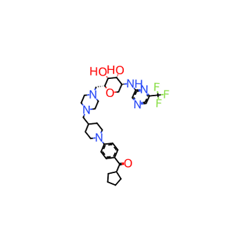 O=C(c1ccc(N2CCC(CN3CCN(C[C@H]4OC[C@H](Nc5cncc(C(F)(F)F)n5)[C@@H](O)[C@H]4O)CC3)CC2)cc1)C1CCCC1